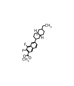 CCC1CC[C@@H]2CC(c3ccc4cc(C(=O)OC)c(F)c(F)c4c3)CC[C@H]2C1